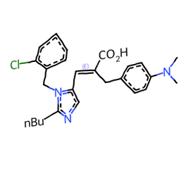 CCCCc1ncc(/C=C(\Cc2ccc(N(C)C)cc2)C(=O)O)n1Cc1ccccc1Cl